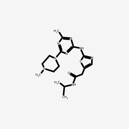 Cc1nc(Nc2ncc(CC(=O)NC(C)C)s2)nc(N2CCN(C)CC2)n1